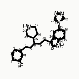 Fc1cccc(CCC(CCc2c[nH]c3ccc(-n4cnnc4)cc23)C2CCNCC2)c1